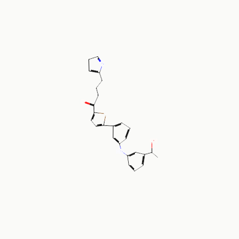 CC(O)c1cccc(Nc2cccc(-c3ccc(C(=O)CCCC4=CCC=N4)s3)c2)c1